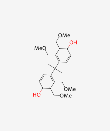 COCc1c(O)ccc(C(C)(C)c2ccc(O)c(COC)c2COC)c1COC